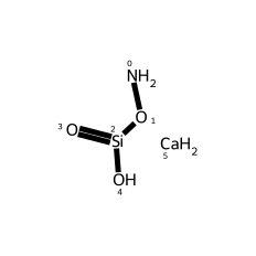 NO[Si](=O)O.[CaH2]